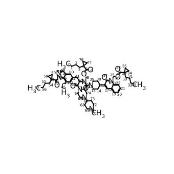 CCCCC1(C(=O)OCN(C(=O)N2CCC(c3cc4ccccc4n(COC(=O)C4(CCCC)CC4)c3=O)CC2)C(Cc2cc(C)c3c(cnn3C(=O)C3(CCCC)CC3)c2)C(=O)N2CCN(C3CCN(C)CC3)CC2)CC1